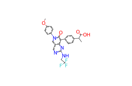 COc1ccc(-n2cc3cnc(NCC(F)(F)F)nc3c(-c3ccc(C(C)C(=O)O)cc3)c2=O)cc1